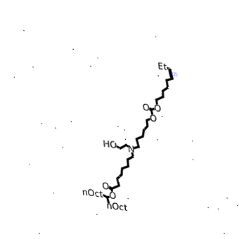 CC/C=C\CCCCCOC(=O)OCCCCCCN(CCO)CCCCCCCC(=O)OC(CCCCCCCC)CCCCCCCC